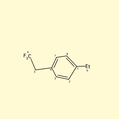 [CH2]Cc1ccc(CC(F)(F)F)cc1